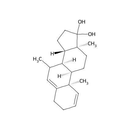 CC1C=C2CCC=C[C@]2(C)[C@@H]2CC[C@@]3(C)[C@@H](CCC3(O)O)[C@H]12